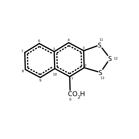 O=C(O)c1c2c(cc3ccccc13)SSS2